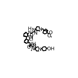 COC(=O)C12CCC(CN3CCc4c(nc(C(=O)Nc5cccc(-c6cccc(NC(=O)c7nc8c(n7C)CCN(C7CCC(O)CC7)C8)c6Cl)c5Cl)n4C)C3)(CC1)C2